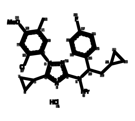 CCCN(c1nc(C2CC2)n(-c2cc(C)c(OC)cc2Cl)n1)C(CC1CC1)c1ccc(F)cc1.Cl